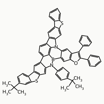 CC(C)(C)c1ccc(N2B3c4cc5oc(-c6ccccc6)c(-c6ccccc6)c5cc4-n4c5cc6sc7ccccc7c6cc5c5ccc(c3c54)-c3cc4c(cc32)sc2cc(C(C)(C)C)ccc24)cc1